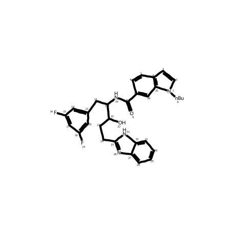 CCCCn1ccc2ccc(C(=O)NC(Cc3cc(F)cc(F)c3)C(O)CCc3nc4ccccc4[nH]3)cc21